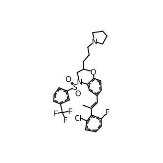 CC(=Cc1ccc2c(c1)N(S(=O)(=O)c1cccc(C(F)(F)F)c1)CC(CCCN1CCCC1)O2)c1c(F)cccc1Cl